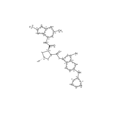 CC(=O)c1cn(CC(=O)N2C[C@H](F)C[C@H]2C(=O)Nc2cc(C)nc3nc(C(F)(F)F)nn23)c2ccc(Nc3cncnc3)cc12